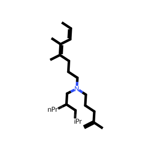 C=C(C)CCCN(CCC/C(C)=C(C)\C=C/C)CC(CCC)CC(C)C